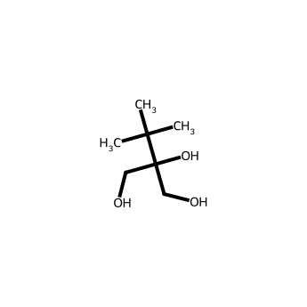 CC(C)(C)C(O)(CO)CO